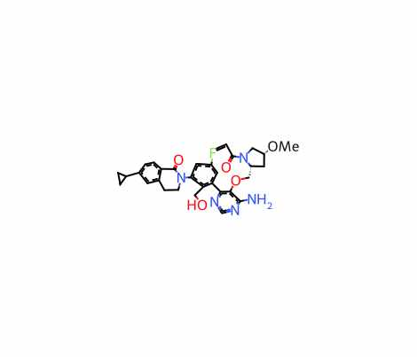 C=CC(=O)N1C[C@H](OC)C[C@@H]1COc1c(N)ncnc1-c1cc(F)cc(N2CCc3cc(C4CC4)ccc3C2=O)c1CO